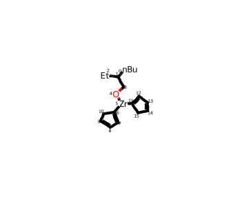 CCCCC(CC)C[O][Zr]([C]1=CC=CC1)[C]1=CC=CC1